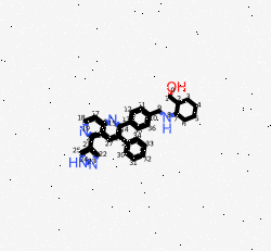 OCC1CCCCC1NCc1ccc(-c2nc3ccnc(-c4cn[nH]c4)c3cc2-c2ccccc2)cc1